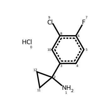 Cl.NC1(c2ccc(F)c(Cl)c2)CC1